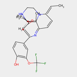 C\C=C(/C=C\C(=N\C(=C/C(C)=O)c1ccc(O)c(OC(F)(F)F)c1)C(C)CC)N1CCN[C@@H](C)C1